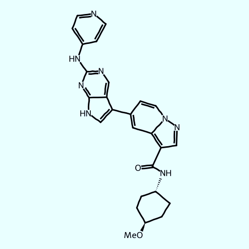 CO[C@H]1CC[C@H](NC(=O)c2cnn3ccc(-c4c[nH]c5nc(Nc6ccncc6)ncc45)cc23)CC1